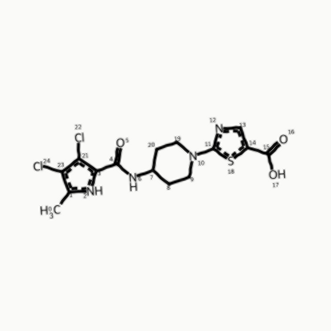 Cc1[nH]c(C(=O)NC2CCN(c3ncc(C(=O)O)s3)CC2)c(Cl)c1Cl